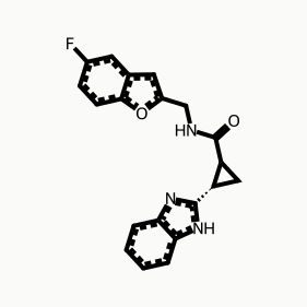 O=C(NCc1cc2cc(F)ccc2o1)C1C[C@@H]1c1nc2ccccc2[nH]1